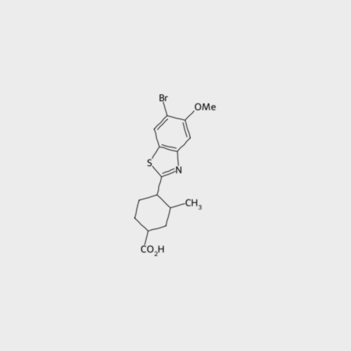 COc1cc2nc(C3CCC(C(=O)O)CC3C)sc2cc1Br